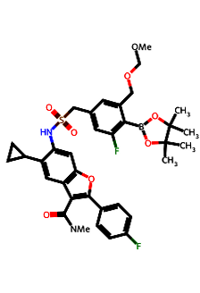 CNC(=O)c1c(-c2ccc(F)cc2)oc2cc(NS(=O)(=O)Cc3cc(F)c(B4OC(C)(C)C(C)(C)O4)c(COCOC)c3)c(C3CC3)cc12